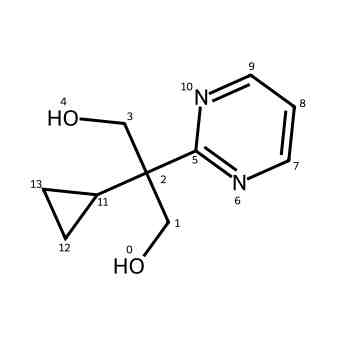 OCC(CO)(c1ncccn1)C1CC1